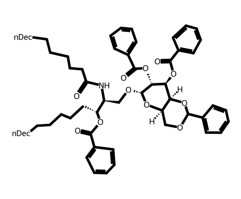 CCCCCCCCCCCCCCCC(=O)N[C@@H](CO[C@H]1O[C@@H]2COC(c3ccccc3)O[C@@H]2[C@H](OC(=O)c2ccccc2)[C@H]1OC(=O)c1ccccc1)[C@@H](CCCCCCCCCCCCCCC)OC(=O)c1ccccc1